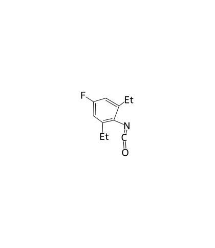 CCc1cc(F)cc(CC)c1N=C=O